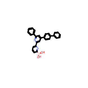 OB(O)c1cccc(-c2cc(-c3ccc(-c4ccccc4)cc3)cc(-c3ccccc3)n2)n1